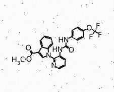 COC(=O)c1cn(-c2ncccc2NC(=O)Nc2ccc(OC(F)(F)F)cc2)c2ccccc12